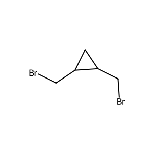 BrCC1CC1CBr